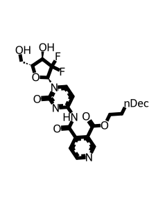 CCCCCCCCCCCCOC(=O)c1cnccc1C(=O)Nc1ccn([C@@H]2O[C@H](CO)[C@@H](O)C2(F)F)c(=O)n1